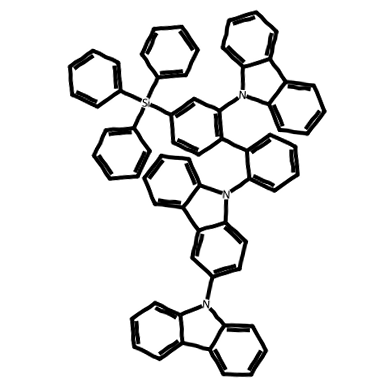 c1ccc([Si](c2ccccc2)(c2ccccc2)c2ccc(-c3ccccc3-n3c4ccccc4c4cc(-n5c6ccccc6c6ccccc65)ccc43)c(-n3c4ccccc4c4ccccc43)c2)cc1